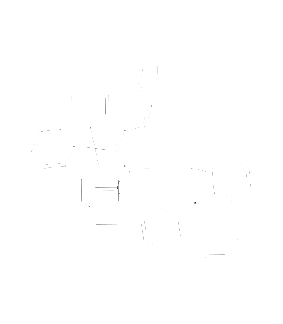 C=C/C=C\C1=C(N(c2ccccc2)c2ccc3c(c2)C(c2ccccc2)(c2ccccc2)c2ccccc2-3)C2(c3ccccc31)c1ccccc1-c1ccccc12